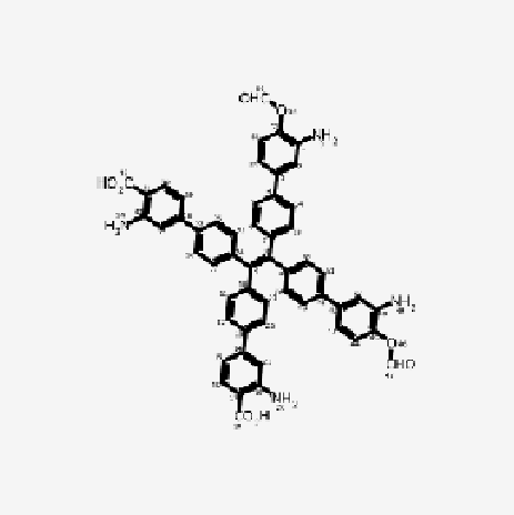 Nc1cc(-c2ccc(C(=C(c3ccc(-c4ccc(C(=O)O)c(N)c4)cc3)c3ccc(-c4ccc(C(=O)O)c(N)c4)cc3)c3ccc(-c4ccc(OC=O)c(N)c4)cc3)cc2)ccc1OC=O